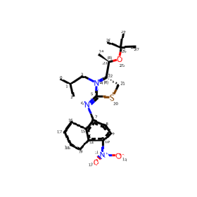 CC(C)CN1C(=Nc2ccc([N+](=O)[O-])c3c2CCCC3)SC[C@H]1[C@@H](C)OC(C)(C)C